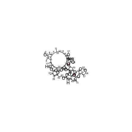 COC1=C(C)C2CC(=C1)CC(C)CCCC(OC)C1(O)C[C@H](OC(=O)N1)[C@@H](C)[C@@H]1O[C@@]1(C)[C@@H](OC(=O)[C@H](C)C(C)C(=O)CCOC(=O)NC(CN(C)C(=O)OC1/C=C/COCOC1)C(=O)ON1C(=O)CCC1=O)CC(O)C2C